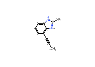 CC#Cc1cccc2[nH]c(C(C)C)nc12